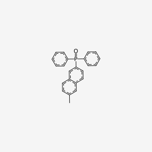 Cc1ccc2cc(P(=O)(c3ccccc3)c3ccccc3)ccc2c1